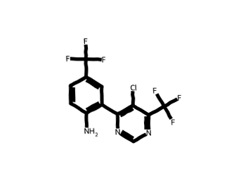 Nc1ccc(C(F)(F)F)cc1-c1ncnc(C(F)(F)F)c1Cl